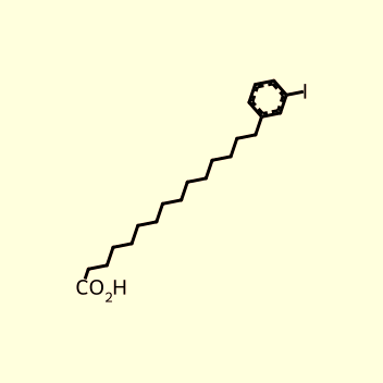 O=C(O)CCCCCCCCCCCCCCc1cccc(I)c1